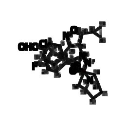 O=Cc1ccc(-c2nnc(N3C4CCC3CC(OCc3c(-c5c(Cl)cccc5Cl)noc3C3CC3)C4)o2)cc1F